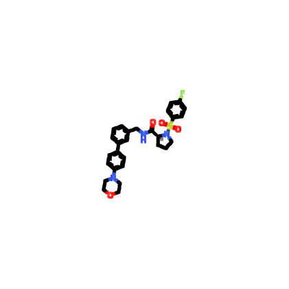 O=C(NCc1cccc(-c2ccc(N3CCOCC3)cc2)c1)[C@@H]1CCCN1S(=O)(=O)c1ccc(F)cc1